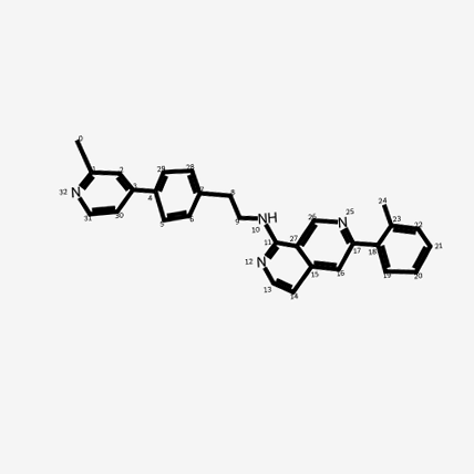 Cc1cc(-c2ccc(CCNc3nccc4cc(-c5ccccc5C)ncc34)cc2)ccn1